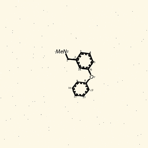 C[N]Cc1cccc(Oc2ccccc2)c1